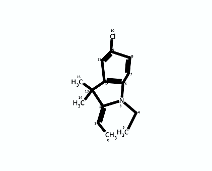 CC=C1N(CC)c2ccc(Cl)cc2C1(C)C